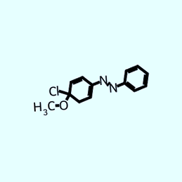 COC1(Cl)C=CC(N=Nc2ccccc2)=CC1